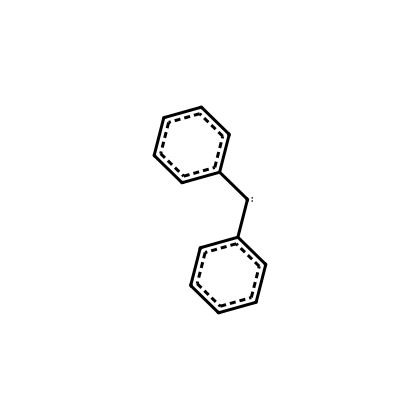 [C](c1ccccc1)c1ccccc1